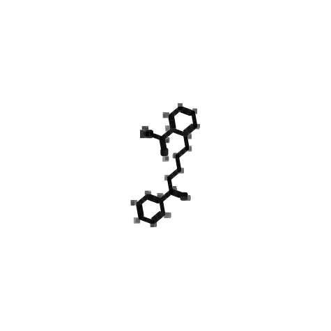 O=C(CCCCc1ccccc1C(=O)O)c1ccccc1